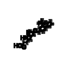 O=C(O)CCc1cc2cc(OCc3ccc(C4CCCC4)c(C(F)(F)F)c3)cnc2[nH]1